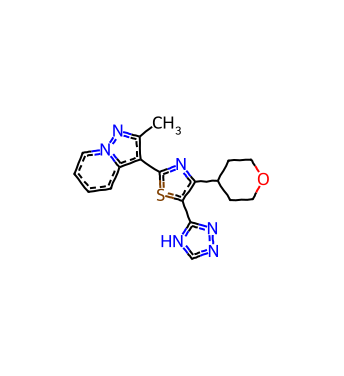 Cc1nn2ccccc2c1-c1nc(C2CCOCC2)c(-c2nnc[nH]2)s1